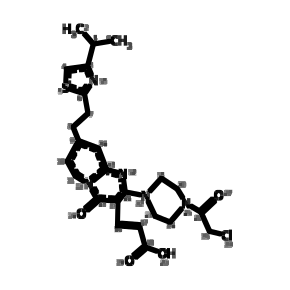 CC(C)c1csc(CCc2ccn3c(=O)c(/C=C/C(=O)O)c(N4CCN(C(=O)CCl)CC4)nc3c2)n1